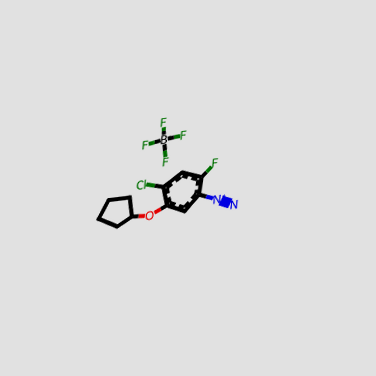 F[B-](F)(F)F.N#[N+]c1cc(OC2CCCC2)c(Cl)cc1F